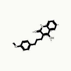 COc1ccc(CCCc2c(O)c3ccccc3oc2=O)cc1